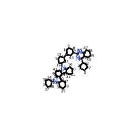 c1ccc(-c2nc(-c3cccc(-c4cccc(-n5c6ccccc6c6c7c8ccccc8n(-c8ccccc8)c7ccc65)c4)c3)nc3ccccc23)cc1